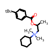 CC(C[N+](C)(C)C1CCCCC1)OC(=O)c1ccc(C(C)(C)C)cc1